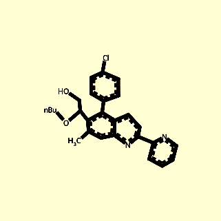 CCCCOC(CO)c1c(C)cc2nc(-c3ccccn3)ccc2c1-c1ccc(Cl)cc1